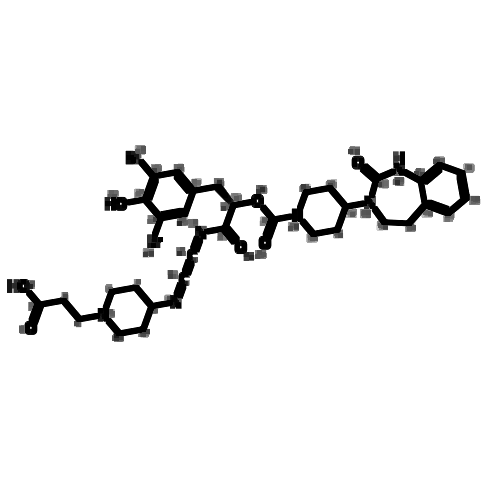 O=C(O)CCN1CCC(N=C=C=NC(=O)[C@@H](Cc2cc(Br)c(O)c(Br)c2)OC(=O)N2CCC(N3CCc4ccccc4NC3=O)CC2)CC1